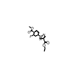 CCOC(=O)c1cnn(-c2ccc(C(=O)OC)c(F)c2)n1